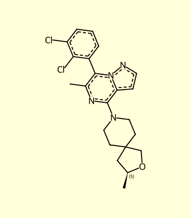 Cc1nc(N2CCC3(CC2)CO[C@@H](C)C3)c2ccnn2c1-c1cccc(Cl)c1Cl